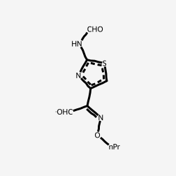 CCCON=C([C]=O)c1csc(NC=O)n1